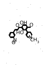 CN1CC=C(c2c(C=O)cc(O)c(C(=O)/C=C/c3cccc(N=O)c3)c2O)CC1